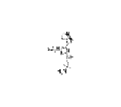 CC(C)(N)CCNc1nccc(-c2cnn3ncccc23)n1.CS(=O)(=O)O